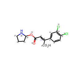 O=C(/C=C(\C(=O)O)c1ccc(Cl)c(Cl)c1)OC1CCCN1